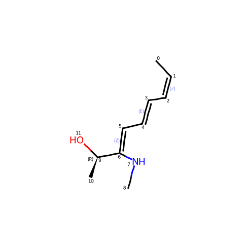 C\C=C/C=C/C=C(\NC)[C@@H](C)O